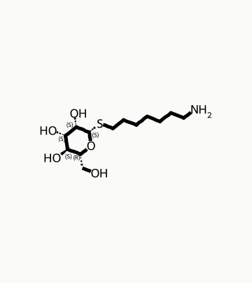 NCCCCCCCS[C@@H]1O[C@H](CO)[C@@H](O)[C@H](O)[C@@H]1O